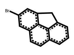 Brc1cc2c3c(ccc4cccc(c43)C2)c1